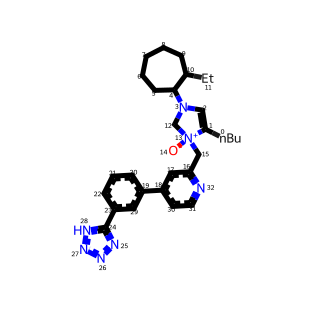 CCCCC1=CN(C2CCCCCC2CC)C[N+]1([O-])Cc1cc(-c2cccc(-c3nnn[nH]3)c2)ccn1